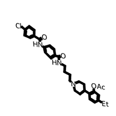 CCc1ccc(C2CCN(CCCCNC(=O)c3ccc(NC(=O)c4ccc(Cl)cc4)cc3)CC2)c(OC(C)=O)c1